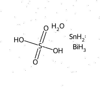 O.O=S(=O)(O)O.[BiH3].[SnH2]